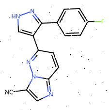 N#Cc1cnc2ccc(-c3c[nH]nc3-c3ccc(F)cc3)nn12